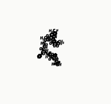 CC[C@@]1(O)C(=O)OCc2c1cc1n(c2=O)Cc2c-1nc1cc(F)c(C)c3c1c2[C@@H](NC(=O)C(C)(C)OCNC(=O)CNC(=O)[C@H](CCc1ccccc1)NC(=O)CNC(=O)CNC(=O)C(CNCOP(=O)(O)O)N1C(=O)C=CC1=O)CC3